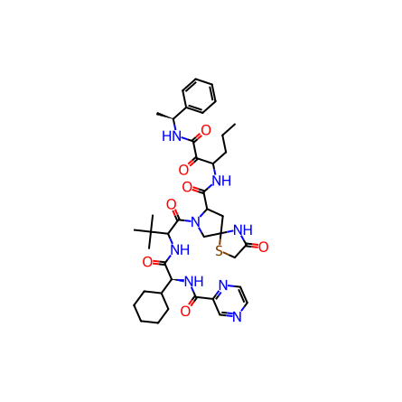 CCCC(NC(=O)C1CC2(CN1C(=O)C(NC(=O)[C@@H](NC(=O)c1cnccn1)C1CCCCC1)C(C)(C)C)NC(=O)CS2)C(=O)C(=O)N[C@@H](C)c1ccccc1